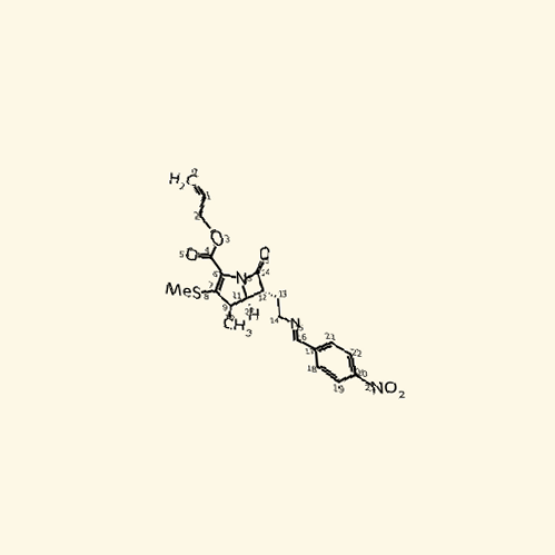 C=CCOC(=O)C1=C(SC)[C@H](C)[C@@H]2[C@@H](CCN=Cc3ccc([N+](=O)[O-])cc3)C(=O)N12